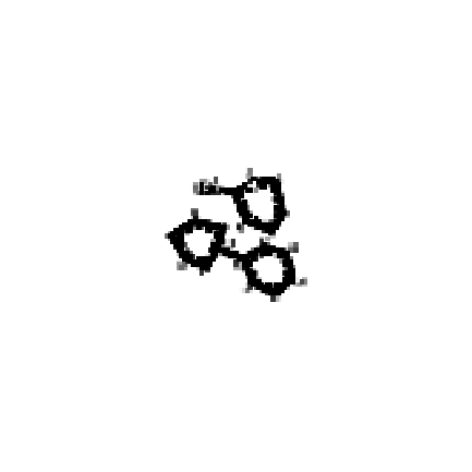 CC(C)(C)c1ccccc1.c1ccc(-c2ccccc2)cc1